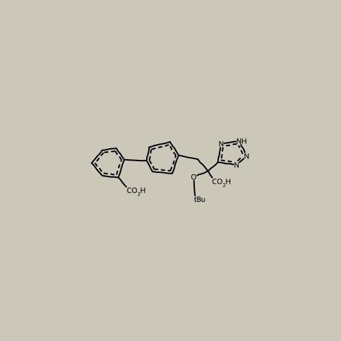 CC(C)(C)OC(Cc1ccc(-c2ccccc2C(=O)O)cc1)(C(=O)O)c1nn[nH]n1